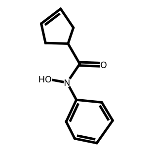 O=C(C1CC=CC1)N(O)c1ccccc1